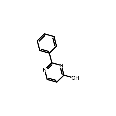 Oc1ccnc(-c2[c]cccc2)n1